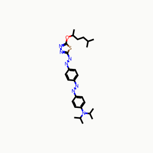 CC(C)CCC(C)Oc1nnc(/N=N/c2ccc(/N=N/c3ccc(N(C(C)C)C(C)C)cc3)cc2)s1